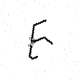 CCCC/C=C\C/C=C\CCCCCCCC(=O)OC[C@H](COC(=O)CCCCCCCCC/C=C\CCCCCCCCCC)OC(=O)CCCCCCC/C=C\CCCCCCCC